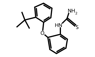 CC(C)(C)c1ccccc1Oc1ccccc1NC(N)=S